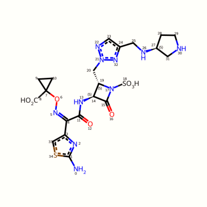 Nc1nc(C(=NOC2(C(=O)O)CC2)C(=O)N[C@@H]2C(=O)N(S(=O)(=O)O)[C@H]2Cn2ncc(CN[C@H]3CCNC3)n2)cs1